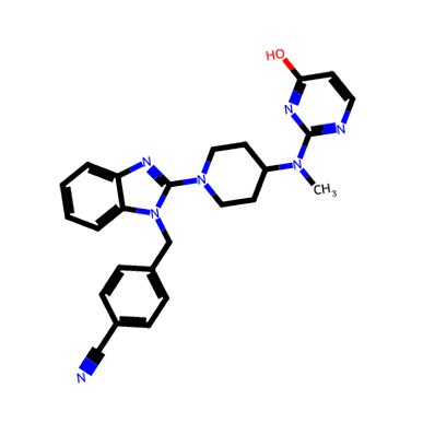 CN(c1nccc(O)n1)C1CCN(c2nc3ccccc3n2Cc2ccc(C#N)cc2)CC1